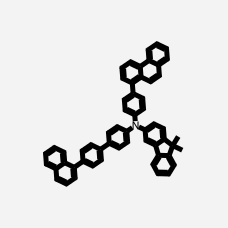 CC1(C)c2ccccc2-c2cc(N(c3ccc(-c4ccc(-c5cccc6ccccc56)cc4)cc3)c3ccc(-c4cccc5c4ccc4ccccc45)cc3)ccc21